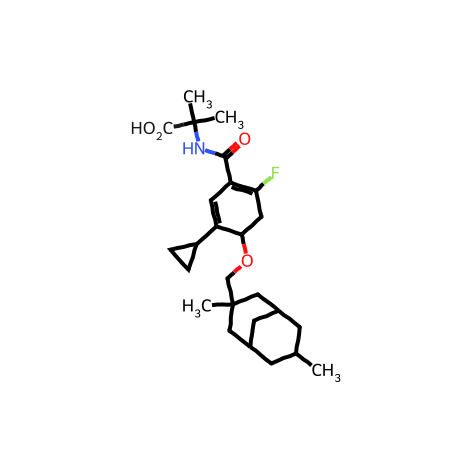 CC1CC2CC(C1)CC(C)(COC1CC(F)=C(C(=O)NC(C)(C)C(=O)O)C=C1C1CC1)C2